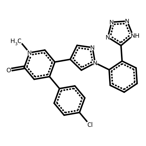 Cn1cc(-c2cnn(-c3ccccc3-c3nnn[nH]3)c2)c(-c2ccc(Cl)cc2)cc1=O